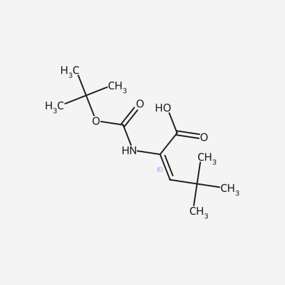 CC(C)(C)/C=C(/NC(=O)OC(C)(C)C)C(=O)O